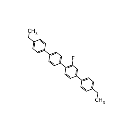 CCc1ccc(-c2ccc(-c3ccc(-c4ccc(CC)cc4)cc3F)cc2)cc1